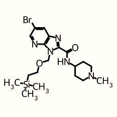 CN1CCC(NC(=O)c2nc3cc(Br)cnc3n2COCC[Si](C)(C)C)CC1